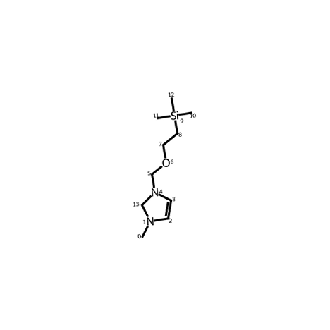 CN1C=CN(COCC[Si](C)(C)C)C1